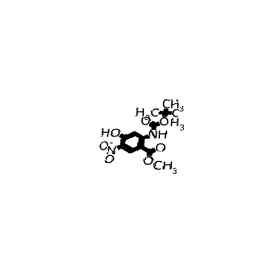 COC(=O)c1cc([N+](=O)[O-])c(O)cc1NC(=O)OC(C)(C)C